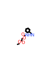 CCOC(=O)COC(=O)Nc1ccccc1C#N